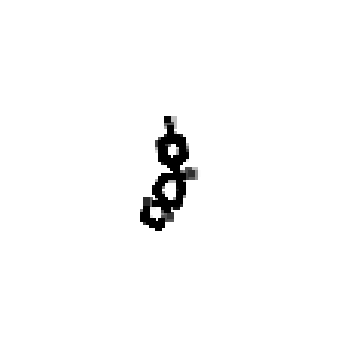 OC1(c2ccc(Cl)cc2)CCC2(CC1)OCCO2